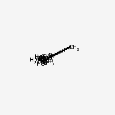 CCCCCCCCCCCCCCCCCC(=O)OCCSC(C)c1c(C(=O)O)cc(C(C)(C)C)c(O)c1C(C)(C)C